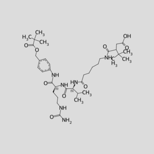 CC(C)[C@H](NC(=O)CCCCCNC(=O)C(CC(=O)O)C(C)(C)C)C(=O)N[C@@H](CCCNC(N)=O)C(=O)Nc1ccc(COC(=O)C(C)(C)C)cc1